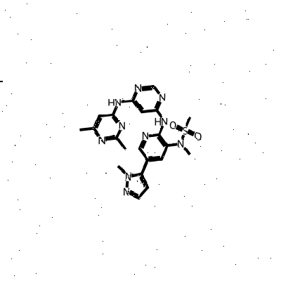 Cc1cc(Nc2cc(Nc3ncc(-c4ccnn4C)cc3N(C)S(C)(=O)=O)ncn2)nc(C)n1